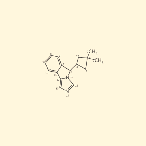 CC1(C)CC(C2c3ccccc3-c3cncn32)C1